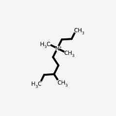 CCC[N+](C)(C)CCC(C)CC